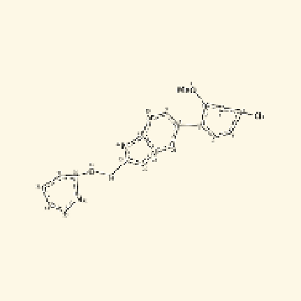 COc1cc(Cl)ccc1-c1cnc2nc(COc3ccccn3)cn2c1